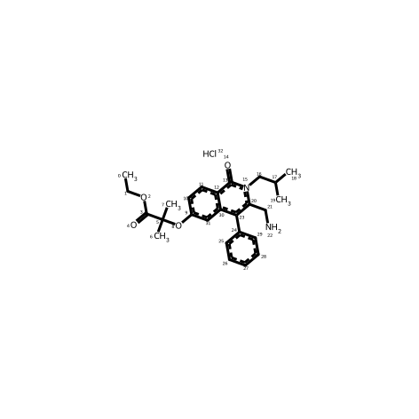 CCOC(=O)C(C)(C)Oc1ccc2c(=O)n(CC(C)C)c(CN)c(-c3ccccc3)c2c1.Cl